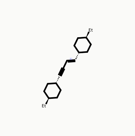 CC[C@H]1CC[C@H](C#C/C=C/[C@H]2CC[C@H](CC)CC2)CC1